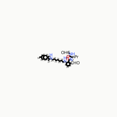 CCCC(C(=O)NC=O)N(C)C(=O)c1c(C=O)cccc1NCCCCCCCNC(C)C1(C)CC2CC(C)CC(C2)C1